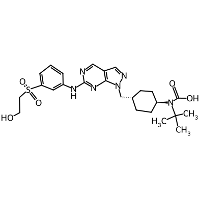 CC(C)(C)N(C(=O)O)[C@H]1CC[C@H](Cn2ncc3cnc(Nc4cccc(S(=O)(=O)CCO)c4)nc32)CC1